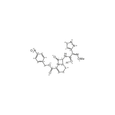 CO/N=C(\C(=O)NC1C(=O)N2C(C(=O)OCc3ccc([N+](=O)[O-])cc3)=CCS[C@H]12)c1csnn1